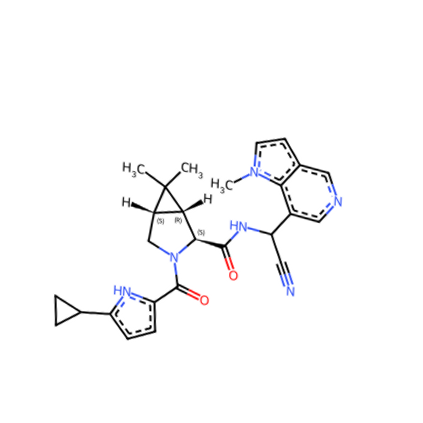 Cn1ccc2cncc(C(C#N)NC(=O)[C@@H]3[C@@H]4[C@H](CN3C(=O)c3ccc(C5CC5)[nH]3)C4(C)C)c21